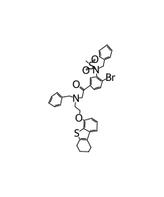 CS(=O)(=O)N(Cc1ccccc1)c1cc(C(=O)CN(CCOc2cccc3c4c(sc23)CCCC4)Cc2ccccc2)ccc1Br